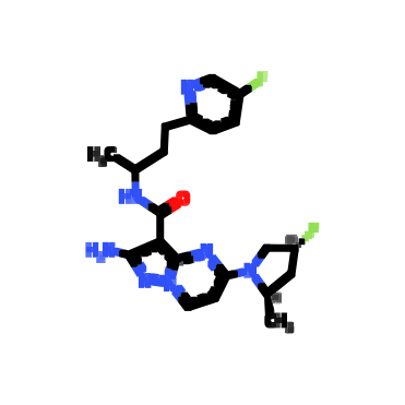 CC(CCc1ccc(F)cn1)NC(=O)c1c(N)nn2ccc(N3C[C@H](F)C[C@H]3C)nc12